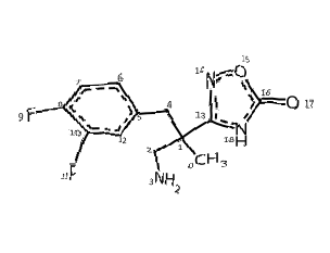 CC(CN)(Cc1ccc(F)c(F)c1)c1noc(=O)[nH]1